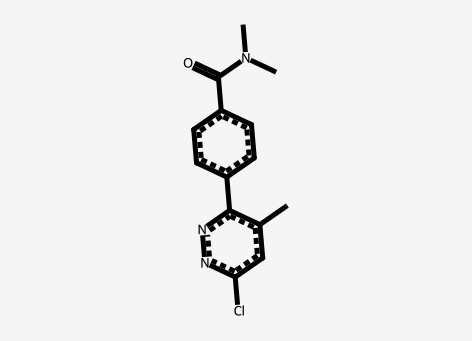 Cc1cc(Cl)nnc1-c1ccc(C(=O)N(C)C)cc1